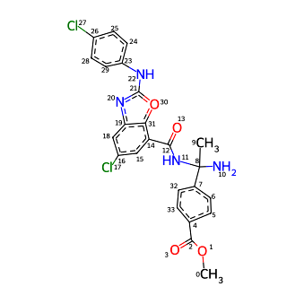 COC(=O)c1ccc(C(C)(N)NC(=O)c2cc(Cl)cc3nc(Nc4ccc(Cl)cc4)oc23)cc1